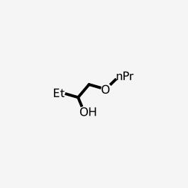 CCCOCC(O)CC